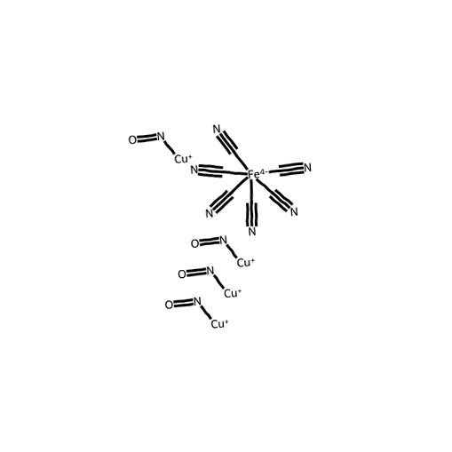 N#[C][Fe-4]([C]#N)([C]#N)([C]#N)([C]#N)[C]#N.O=[N][Cu+].O=[N][Cu+].O=[N][Cu+].O=[N][Cu+]